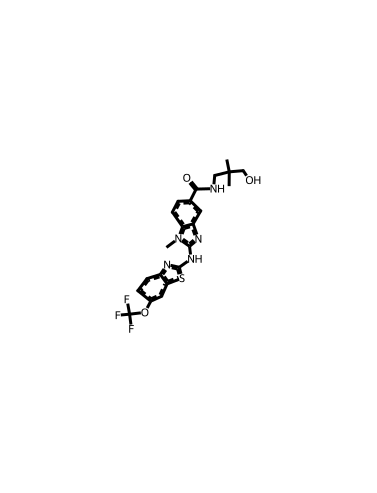 Cn1c(Nc2nc3ccc(OC(F)(F)F)cc3s2)nc2cc(C(=O)NCC(C)(C)CO)ccc21